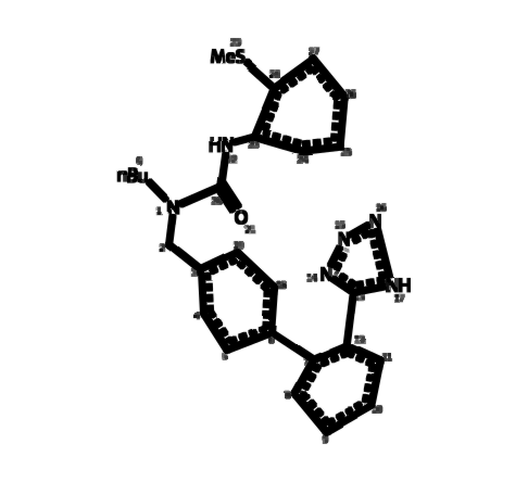 CCCCN(Cc1ccc(-c2ccccc2-c2nnn[nH]2)cc1)C(=O)Nc1ccccc1SC